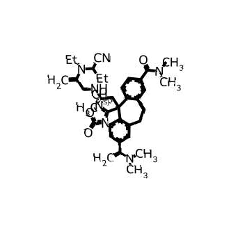 C=C(c1ccc2c(c1)CCc1cc(C(=O)N(C)C)ccc1C2(C[C@H](C)NCC(=C)N(CC)C(C#N)CC)c1nc(=O)on1C)N(C)C